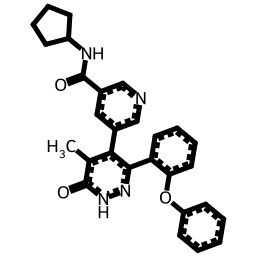 Cc1c(-c2cncc(C(=O)NC3CCCC3)c2)c(-c2ccccc2Oc2ccccc2)n[nH]c1=O